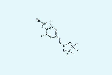 CCCCNCc1c(F)cc(/C=C/B2OC(C)(C)C(C)(C)O2)cc1F